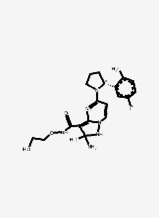 Cc1ccc(F)cc1[C@H]1CCCN1C1=NC2=C(C(=O)NOCCO)C(C)(N)NN2C=C1